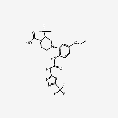 CCOc1ccc(NC(=O)Nc2nnc(C(F)(F)F)s2)c(N2CCN(C(=O)O)C(C(C)(C)C)C2)c1